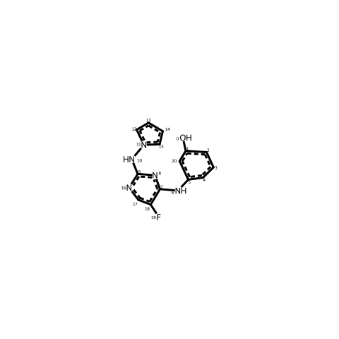 Oc1cccc(Nc2nc(Nn3cccc3)ncc2F)c1